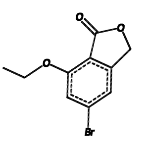 CCOc1cc(Br)cc2c1C(=O)OC2